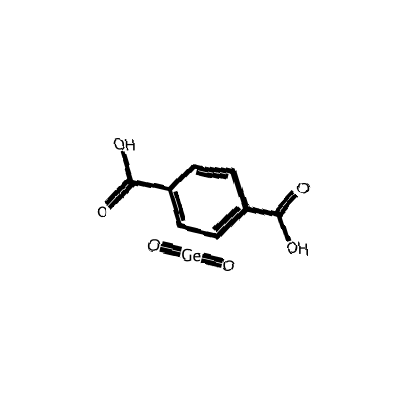 O=C(O)c1ccc(C(=O)O)cc1.[O]=[Ge]=[O]